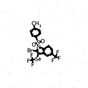 Cc1ccc(S(=O)(=O)n2c(Br)c([Se]C(F)(F)F)c3cc(C(F)(F)F)ccc32)cc1